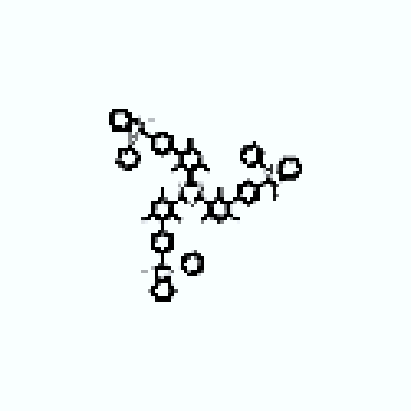 Cc1cc(C)c(-c2nc(-c3c(C)cc(C)c(-c4ccc(-c5[nH]c6ccccc6[n+]5-c5ccccc5)cc4)c3C)nc(-c3c(C)cc(C)c(-c4ccc(-c5[nH]c6ccccc6[n+]5-c5ccccc5)cc4)c3C)n2)c(C)c1-c1ccc(-c2[nH]c3ccccc3[n+]2-c2ccccc2)cc1